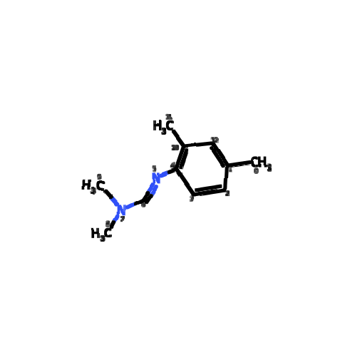 Cc1ccc(N=CN(C)C)c(C)c1